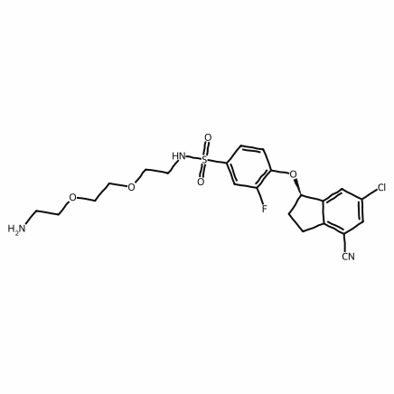 N#Cc1cc(Cl)cc2c1CC[C@H]2Oc1ccc(S(=O)(=O)NCCOCCOCCN)cc1F